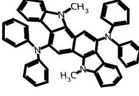 Cn1c2ccccc2c2c(N(c3ccccc3)c3ccccc3)cc3c(cc(N(c4ccccc4)c4ccccc4)c4c5ccccc5n(C)c34)c21